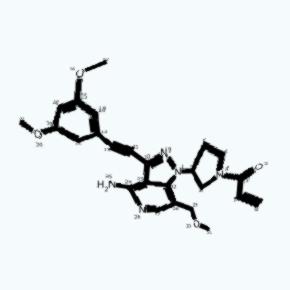 C=CC(=O)N1CCC(n2nc(C#Cc3cc(OC)cc(OC)c3)c3c(N)ncc(COC)c32)C1